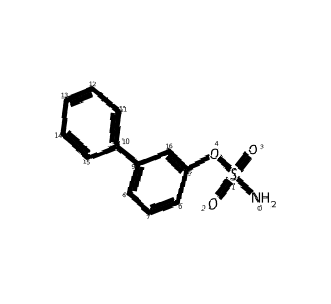 NS(=O)(=O)Oc1cccc(-c2ccccc2)c1